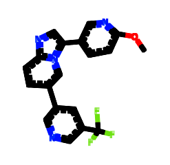 COc1ccc(-c2cnc3ccc(-c4cncc(C(F)(F)F)c4)cn23)cn1